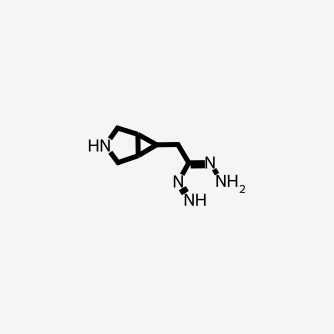 N=N/C(CC1C2CNCC21)=N\N